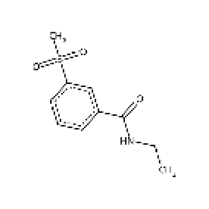 CCNC(=O)c1cccc(S(C)(=O)=O)c1